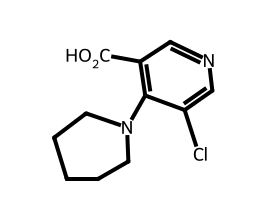 O=C(O)c1cncc(Cl)c1N1CCCCC1